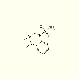 CN1c2ccccc2N(S(N)(=O)=O)CC1(C)C